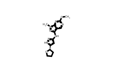 COc1ncc2c(Nc3cc([C@H]4CCCO4)[nH]n3)nn(C)c2n1